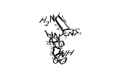 Nc1cccc([C@@H](CN2CCCC2)NC(=O)C2(c3ccc4oc(=O)[nH]c4c3)CC2)c1